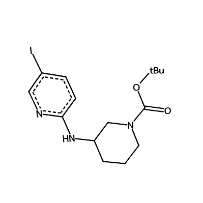 CC(C)(C)OC(=O)N1CCCC(Nc2ccc(I)cn2)C1